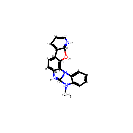 Cn1c2ccccc2n2c3c(ccc4c5cccnc5oc43)nc12